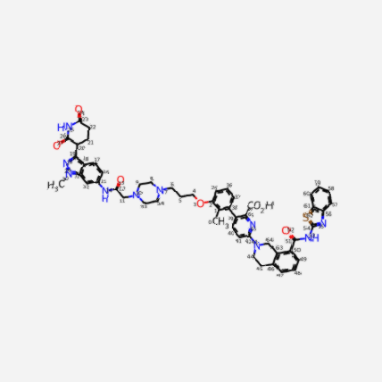 Cc1c(OCCCN2CCN(CC(=O)Nc3ccc4c(C5CCC(=O)NC5=O)nn(C)c4c3)CC2)cccc1-c1ccc(N2CCc3cccc(C(=O)Nc4nc5ccccc5s4)c3C2)nc1C(=O)O